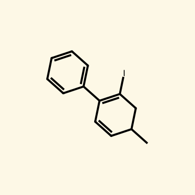 CC1C=CC(c2ccccc2)=C(I)C1